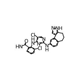 CNC(=O)c1cccc(Cl)c1Nc1nc(Nc2ccc3c(c2)-c2cn[nH]c2CCC3)ncc1Cl